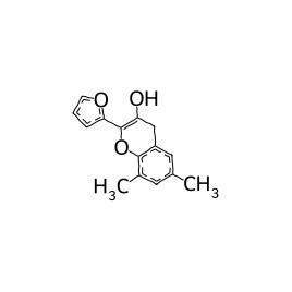 Cc1cc(C)c2c(c1)CC(O)=C(c1ccco1)O2